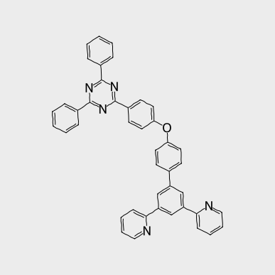 c1ccc(-c2nc(-c3ccccc3)nc(-c3ccc(Oc4ccc(-c5cc(-c6ccccn6)cc(-c6ccccn6)c5)cc4)cc3)n2)cc1